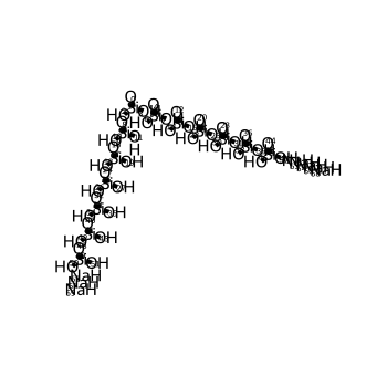 O=[Si](O)O.O=[Si](O)O.O=[Si](O)O.O=[Si](O)O.O=[Si](O)O.O=[Si](O)O.O=[Si](O)O.O=[Si](O)O.O=[Si](O)O.O=[Si](O)O.O=[Si](O)O.O=[Si](O)O.O=[Si](O)O.[NaH].[NaH].[NaH].[NaH].[NaH].[NaH].[NaH].[NaH]